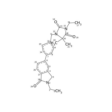 CCN1Cc2cc(-c3ccc(CN4C(=O)N(CC)C(=O)C4(C)C)cc3)ccc2C1=O